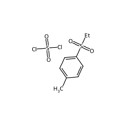 CCS(=O)(=O)c1ccc(C)cc1.O=S(=O)(Cl)Cl